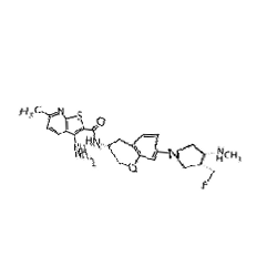 CN[C@H]1CN(c2ccc3c(c2)OC[C@H](NC(=O)c2sc4nc(C)ccc4c2N)C3)C[C@H]1CF